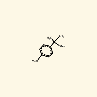 COc1ccc(C(C)(C)SC)cc1